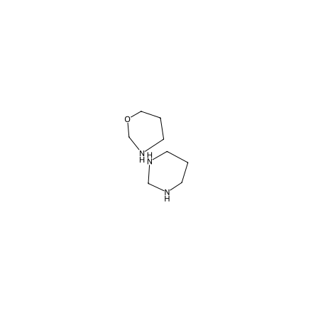 C1CNCNC1.C1CNCOC1